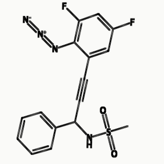 CS(=O)(=O)NC(C#Cc1cc(F)cc(F)c1N=[N+]=[N-])c1ccccc1